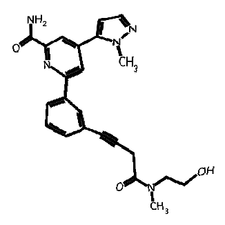 CN(CCO)C(=O)CC#Cc1cccc(-c2cc(-c3ccnn3C)cc(C(N)=O)n2)c1